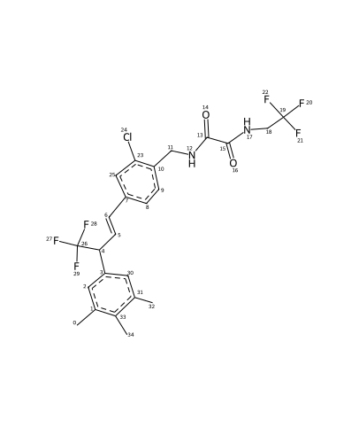 Cc1cc(C(/C=C/c2ccc(CNC(=O)C(=O)NCC(F)(F)F)c(Cl)c2)C(F)(F)F)cc(C)c1C